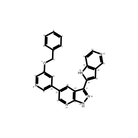 c1ccc(COc2cncc(-c3cnc4[nH]nc(-c5cc6cnccc6[nH]5)c4c3)c2)cc1